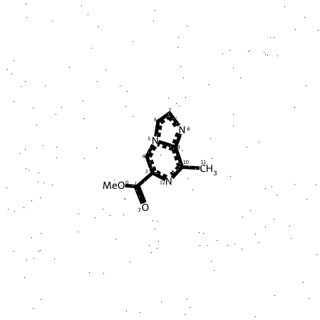 COC(=O)c1cn2ccnc2c(C)n1